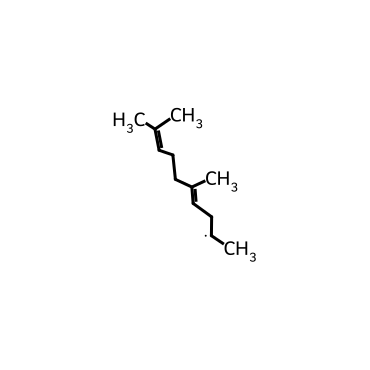 C[CH]C/C=C(\C)CCC=C(C)C